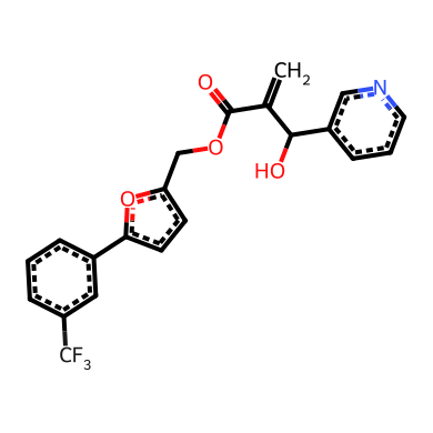 C=C(C(=O)OCc1ccc(-c2cccc(C(F)(F)F)c2)o1)C(O)c1cccnc1